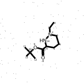 CCN1CCCC(C(=O)OC(C)(C)C)N1